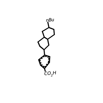 CCCCC1CCC2CC(c3ccc(C(=O)O)cc3)CCC2C1